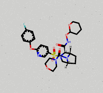 O=C(NOC1CCCCO1)[C@H]1[C@@H]2CC[C@H](CN1S(=O)(=O)c1ccc(Oc3ccc(F)cc3)nc1)N2C(=O)N1CCOCC1